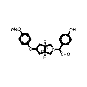 COc1ccc(OC2C[C@@H]3CN(C(C=O)c4ccc(O)cc4)C[C@@H]3C2)cc1